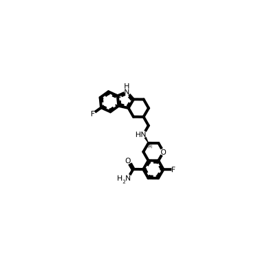 NC(=O)c1ccc(F)c2c1C[C@@H](NCC1CCc3[nH]c4ccc(F)cc4c3C1)CO2